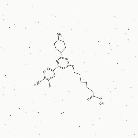 N#Cc1ccc(-c2cc(OCCCCCCC(=O)NO)cc(N3CCC(N)CC3)n2)cc1F